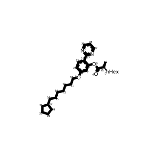 CCCCCC[C@H](C)C(=O)Oc1cc(OCCCCCCCC2CCCC2)ccc1-c1ncccn1